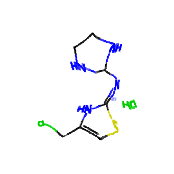 Cl.ClCc1cs/c(=N/C2NCCN2)[nH]1